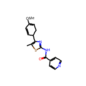 COC1=CCC(c2nc(NC(=O)c3ccncc3)sc2C)C=C1